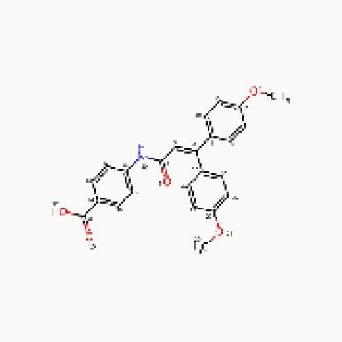 COc1ccc(C(=CC(=O)Nc2ccc(C(=O)O)cc2)c2ccc(OC)cc2)cc1